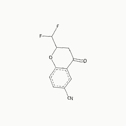 N#Cc1ccc2c(c1)C(=O)CC(C(F)F)O2